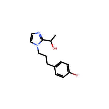 CC(O)c1nccn1CCCc1ccc(Br)cc1